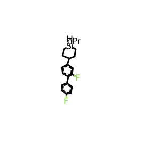 CCC[SiH]1CCC(c2ccc(-c3ccc(F)cc3)c(F)c2)CC1